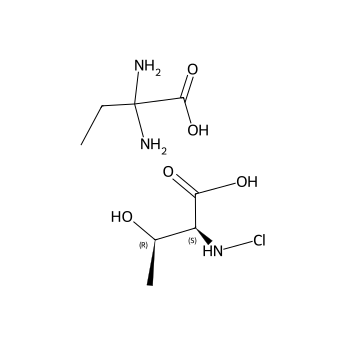 CCC(N)(N)C(=O)O.C[C@@H](O)[C@H](NCl)C(=O)O